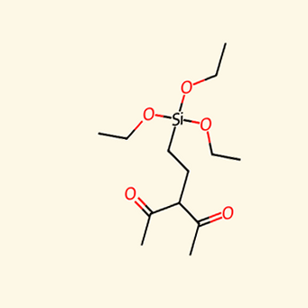 CCO[Si](CCC(C(C)=O)C(C)=O)(OCC)OCC